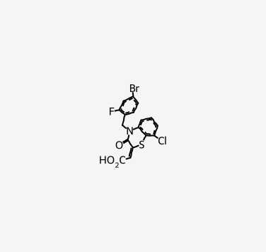 O=C(O)C=C1Sc2c(Cl)cccc2N(Cc2ccc(Br)cc2F)C1=O